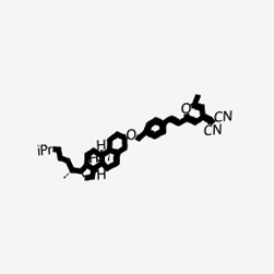 CC1=CC(=C(C#N)C#N)C=C(/C=C/c2ccc(COC3CC[C@@]4(C)C(=CC[C@H]5[C@@H]6CC[C@H]([C@H](C)CCCC(C)C)C6CC[C@@H]54)C3)cc2)O1